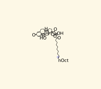 CCCCCCCC/C=C/CCCCCCCC(=O)OC(O)C(=O)[C@@]1(O)CC[C@H]2[C@@H]3CCC4=CC(=O)C=C[C@]4(C)[C@H]3C(O)C[C@@]21C